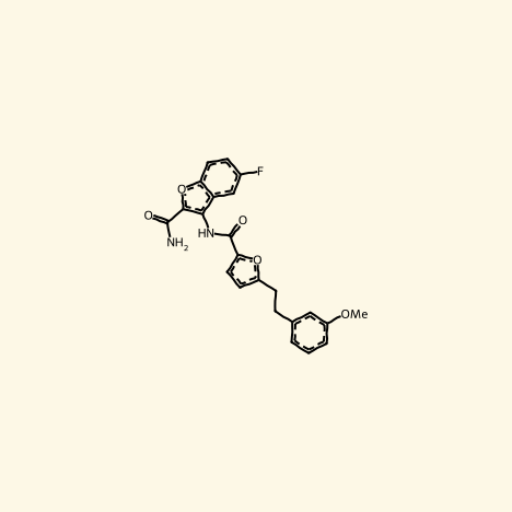 COc1cccc(CCc2ccc(C(=O)Nc3c(C(N)=O)oc4ccc(F)cc34)o2)c1